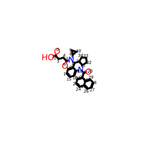 O=C(O)CCC(=O)N(C1CC1)C1c2ccccc2N(C(=O)c2cccc3ccccc23)C2CCCC21